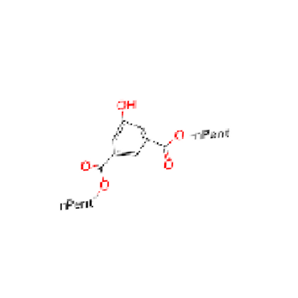 CCCCCOC(=O)c1cc(O)cc(C(=O)OCCCCC)c1